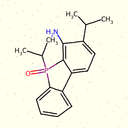 CC(C)c1ccc2c(c1N)P(=O)(C(C)C)c1ccccc1-2